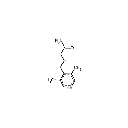 Cc1cncc(C)c1C[CH]CC(N)=O